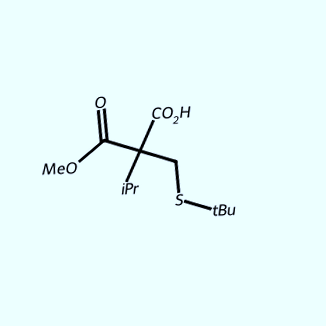 COC(=O)C(CSC(C)(C)C)(C(=O)O)C(C)C